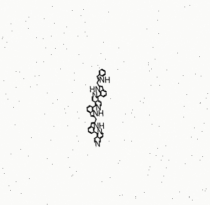 c1ccc2[nH]c(Cc3cc4cccc(-c5nccc6c(-c7cccc8cc(Cc9cc%10cccc(-c%11nccc%12cnccc%11%12)c%10[nH]9)[nH]c78)nccc56)c4[nH]3)cc2c1